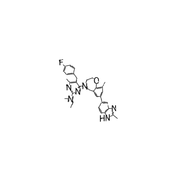 CCN(C)c1nc(C)c(Cc2ccc(F)cc2)c(N2CCOc3c(C)cc(-c4ccc5[nH]c(C)nc5c4)cc3C2)n1